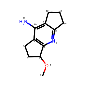 COC1CCc2c1nc1c(c2N)CCC1